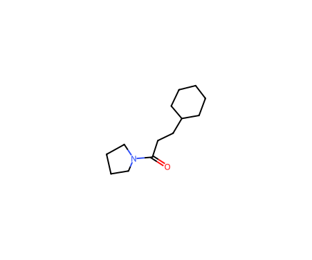 O=C(CCC1CCCCC1)N1CCCC1